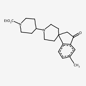 CCOC(=O)N1CCC(N2CCC3(CC2)CC(=O)c2cc(C)ccc23)CC1